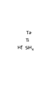 [Hf].[SiH4].[Ta].[Ti]